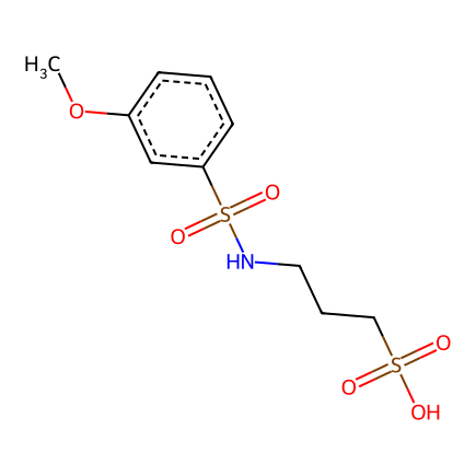 COc1cccc(S(=O)(=O)NCCCS(=O)(=O)O)c1